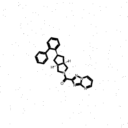 O=C(c1nc2ncccn2n1)N1C[C@H]2C[C@@H](c3ccccc3-c3ccccc3)C[C@H]2C1